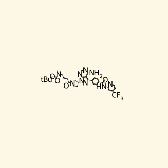 CN(CC=CC(=O)N1CC[C@@H](n2nc(-c3ccc(C(=O)Nc4cc(C(F)(F)F)ccn4)cc3)c3c(N)ncnc32)C1)C(=O)OC(C)(C)C